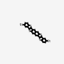 CCc1ccc2sc3c4cc5cc6sc7c8cc(CC)ccc8sc7c6cc5cc4sc3c2c1